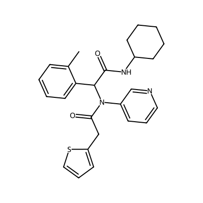 Cc1ccccc1C(C(=O)NC1CCCCC1)N(C(=O)Cc1cccs1)c1cccnc1